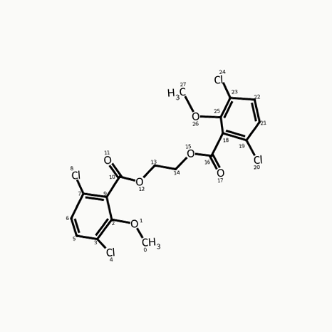 COc1c(Cl)ccc(Cl)c1C(=O)OCCOC(=O)c1c(Cl)ccc(Cl)c1OC